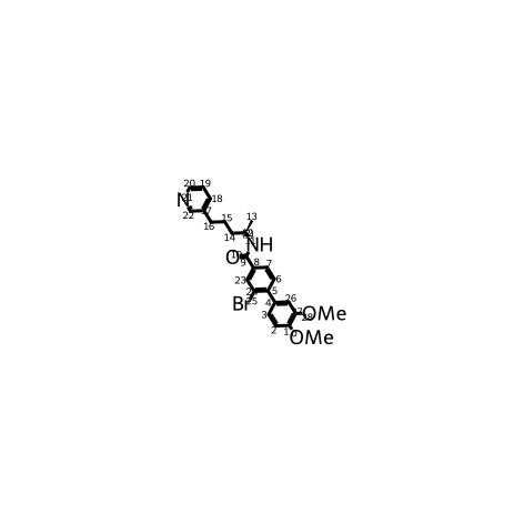 COc1ccc(-c2ccc(C(=O)N[C@H](C)CCCc3cccnc3)cc2Br)cc1OC